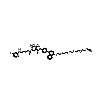 [N-]=[N+]=NCCOCCOCCOCCOCCOc1ccc(-c2ccc([C@H](CC(=O)O)NC(=O)CNC(=O)CCCCNc3cc(F)ccn3)cc2)c2ccccc12